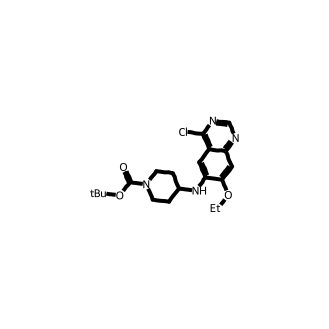 CCOc1cc2ncnc(Cl)c2cc1NC1CCN(C(=O)OC(C)(C)C)CC1